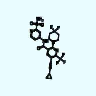 NS(=O)(=O)c1cc(NC(=O)c2cc(C#CC3CC3)c(C(F)(F)F)nc2N2CCC(F)(F)CC2)ccn1